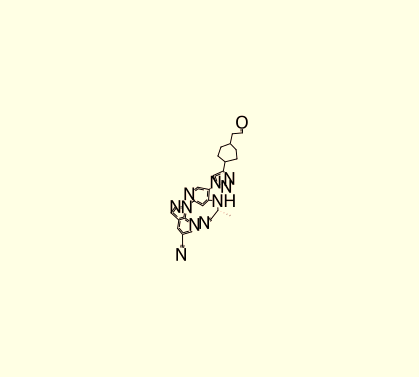 C[C@H](C#N)Nc1cc(-n2ncc3cc(C#N)cnc32)ncc1-n1cc(C2CCC(CC=O)CC2)nn1